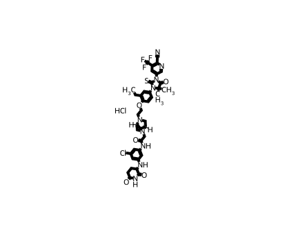 CCc1cc(N2C(=S)N(c3cnc(C#N)c(C(F)(F)F)c3)C(=O)C2(C)C)ccc1OCCN1C[C@@H]2C[C@H]1CN2CC(=O)Nc1cc(Cl)cc(NC2CCC(=O)NC2=O)c1.Cl